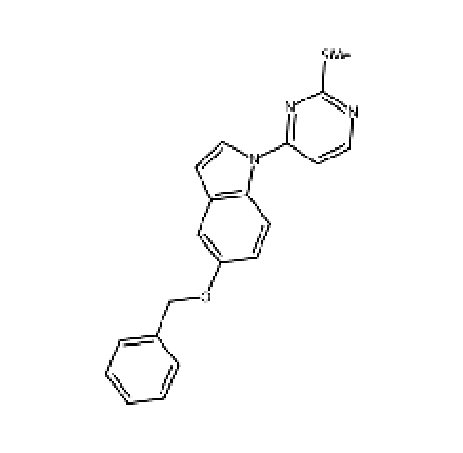 CSc1nccc(-n2ccc3cc(OCc4ccccc4)ccc32)n1